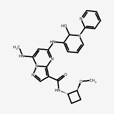 CNc1cc(NC2=CC=CN(c3ccccn3)C2O)nc2c(C(=O)N[C@H]3CC[C@@H]3OC)cnn12